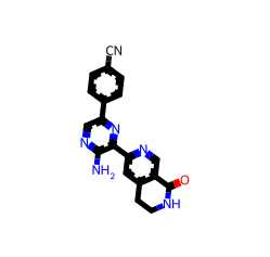 N#Cc1ccc(-c2cnc(N)c(-c3cc4c(cn3)C(=O)NCC4)n2)cc1